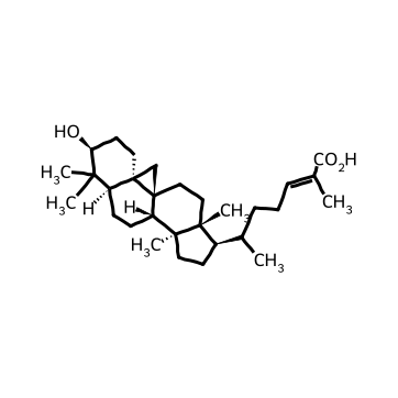 C/C(=C\CCC(C)[C@H]1CC[C@@]2(C)[C@@H]3CC[C@H]4C(C)(C)[C@@H](O)CC[C@@]45C[C@@]35CC[C@]12C)C(=O)O